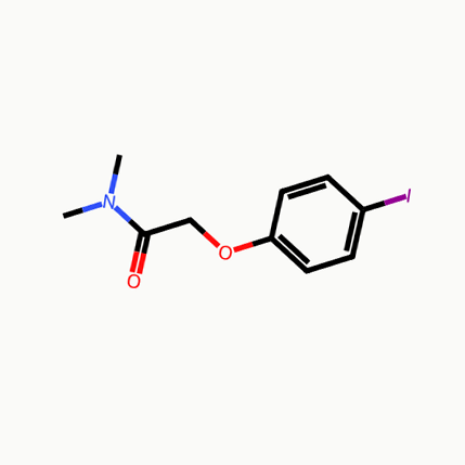 CN(C)C(=O)COc1ccc(I)cc1